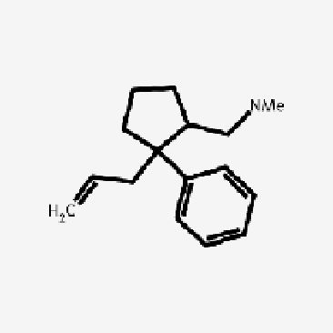 C=CCC1(c2ccccc2)CCCC1CNC